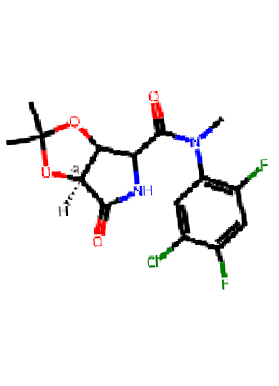 CN(C(=O)C1NC(=O)[C@H]2OC(C)(C)OC12)c1cc(Cl)c(F)cc1F